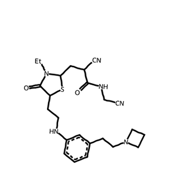 CCN1C(=O)C(CCNc2cccc(CCN3CCC3)c2)SC1CC(C#N)C(=O)NCC#N